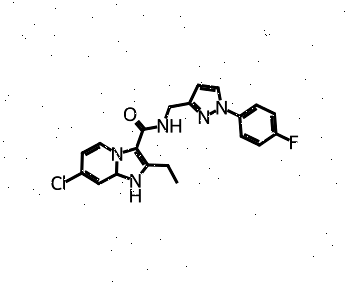 CCC1=C(C(=O)NCc2ccn(-c3ccc(F)cc3)n2)N2C=CC(Cl)=CC2N1